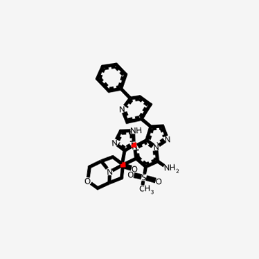 CS(=O)(=O)c1c(C2CC3COCC(C2)N3C(=O)c2nc[nH]n2)nc2c(-c3ccc(-c4ccccc4)nc3)cnn2c1N